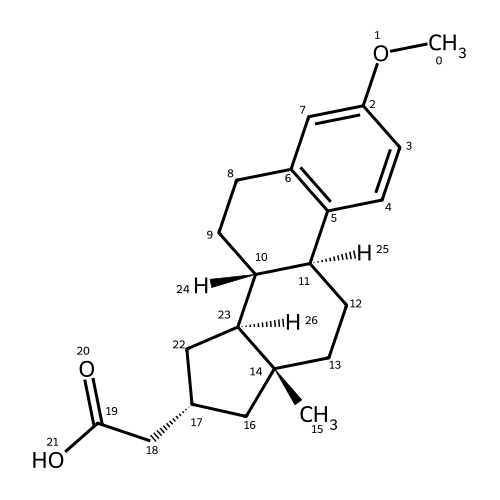 COc1ccc2c(c1)CC[C@@H]1[C@@H]2CC[C@]2(C)C[C@H](CC(=O)O)C[C@@H]12